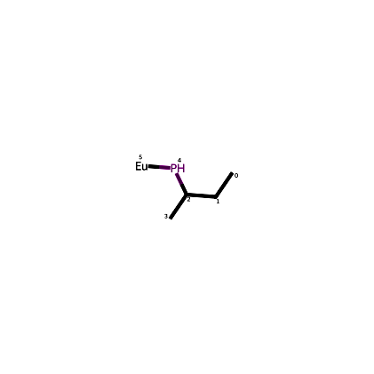 CCC(C)[PH][Eu]